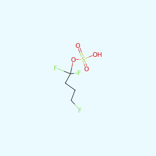 O=S(=O)(O)OC(F)(F)CCCF